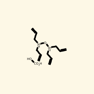 C=C[CH2][SnH]([CH2]C=C)[O][SnH]([CH2]C=C)[CH2]C=C.O=C(O)O